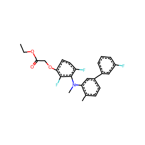 CCOC(=O)COc1ccc(F)c(N(C)c2cc(-c3cccc(F)c3)ccc2C)c1F